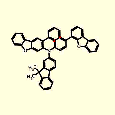 CC1(C)c2ccccc2-c2ccc(N(c3ccc(-c4cccc5c4oc4ccccc45)cc3)c3cc4oc5ccccc5c4cc3-c3ccccc3)cc21